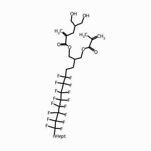 C=C(C)C(=O)OCC(CCC(F)(F)C(F)(F)C(F)(F)C(F)(F)C(F)(F)C(F)(F)C(F)(F)C(F)(F)CCCCCCC)COC(=O)C(=C)CC(CO)CO